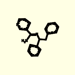 N/C(=N\C(Cc1ccccc1)c1ccccc1)c1cccnc1